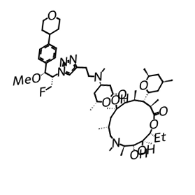 CC[C@H]1OC(=O)[C@H](C)[C@@H](C2C[C@H](C)C[C@H](C)O2)[C@H](C)[C@@H](O[C@H]2C[C@@H](N(C)CCc3cn([C@H](CF)[C@H](OC)c4ccc(C5CCOCC5)cc4)nn3)C[C@@H](C)O2)[C@](C)(O)C[C@@H](C)CN(C)[C@H](C)[C@@H](O)[C@]1(C)O